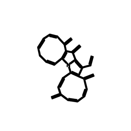 C=Cc1c2c(=C)ccccc(=C)ccc2n2c3c(c(=C)c12)C(=C)/C=C\C=C/C/C=C\3